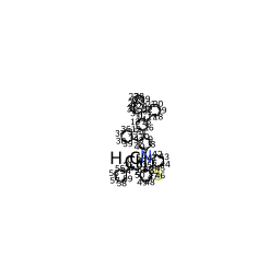 C/C(=C\C=C(/C)N(c1ccc(-c2ccc3c(c2)-c2ccccc2C32C3CC4CC(C3)CC2C4)c(-c2ccccc2)c1)c1cccc2sc3ccccc3c12)c1ccccc1